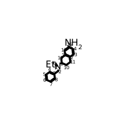 CCN(Cc1ccccc1)C1CCc2ccc(N)cc2C1